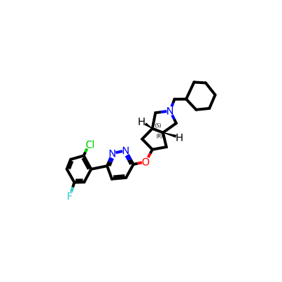 Fc1ccc(Cl)c(-c2ccc(OC3C[C@@H]4CN(CC5CCCCC5)C[C@@H]4C3)nn2)c1